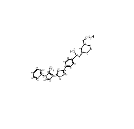 O=C(O)CC1CCCN(CC(O)c2ccc(-c3noc(-c4cnn(-c5ncccn5)c4C(F)(F)F)n3)cc2)C1